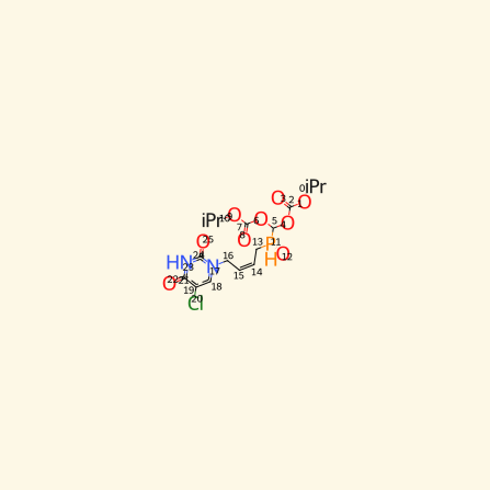 CC(C)OC(=O)OC(OC(=O)OC(C)C)[PH](=O)C/C=C\Cn1cc(Cl)c(=O)[nH]c1=O